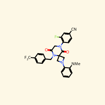 CNc1ccccc1N1CC2(C1)C(=O)N(c1ccc(C#N)cc1F)CC(=O)N2Cc1ccc(C(F)(F)F)cc1